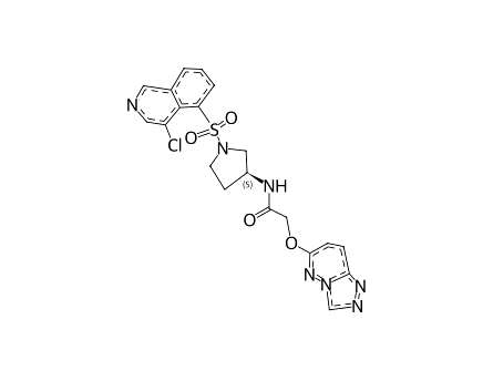 O=C(COc1ccc2nncn2n1)N[C@H]1CCN(S(=O)(=O)c2cccc3cncc(Cl)c23)C1